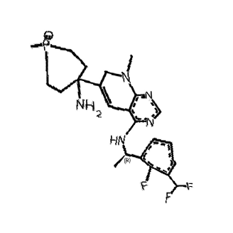 C[C@@H](Nc1ncnc2c1C=C(C1(N)CCP(C)(=O)CC1)CN2C)c1cccc(C(F)F)c1F